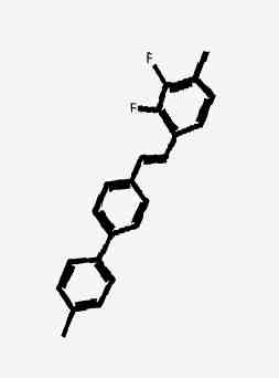 Cc1ccc(-c2ccc(C=Cc3ccc(C)c(F)c3F)cc2)cc1